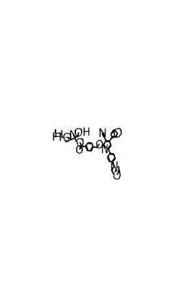 N#Cc1c(-c2ccoc2)cc(-c2ccc(N3CCOCC3)cc2)nc1OCc1ccc(C(=O)OCC(N)(CO)CO)cc1